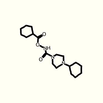 O=C(ONC(=O)N1CCN(C2CCCCC2)CC1)C1CCCCC1